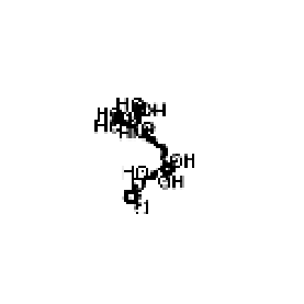 O=C(CCC/C=C\C[C@@H]1[C@@H](/C=C/[C@@H](O)COc2cccc(Cl)c2)[C@H](O)C[C@@H]1O)NC(CON(O)O)CON(O)O